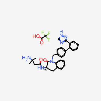 CC(C)(N)CC(=O)N[C@@H]1CCc2ccccc2N(Cc2ccc(-c3ccccc3-c3nc[nH]n3)cc2)C1=O.O=C(O)C(F)(F)F